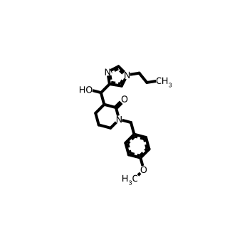 CCCn1cnc(C(O)C2CCCN(Cc3ccc(OC)cc3)C2=O)c1